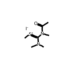 C/[S+]=C(\N(C)C)N(C)C(C)=O.[I-]